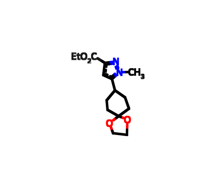 CCOC(=O)c1cc(C2CCC3(CC2)OCCO3)n(C)n1